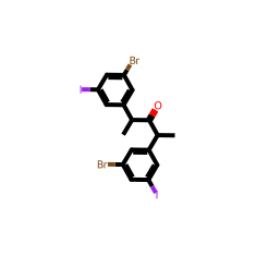 CC(C(=O)C(C)c1cc(Br)cc(I)c1)c1cc(Br)cc(I)c1